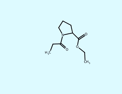 CCOC(=O)C1CCCN1C(=O)CC